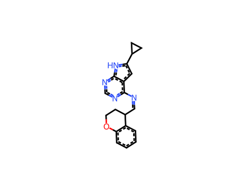 C(=N/c1ncnc2[nH]c(C3CC3)cc12)/C1CCOc2ccccc21